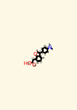 CN(C)c1ccc(-c2coc3c(CC(=O)O)cccc23)cc1